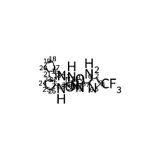 Nc1cc(C(F)(F)F)cnc1-c1nnc(NC2N=C(c3ccccc3)c3ccccc3NC2=O)o1